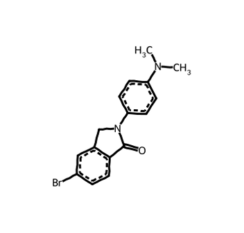 CN(C)c1ccc(N2Cc3cc(Br)ccc3C2=O)cc1